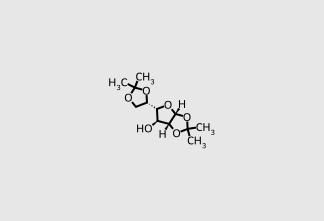 CC1(C)O[C@H]2OC([C@@H]3COC(C)(C)O3)[C@H](O)[C@H]2O1